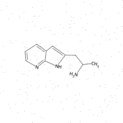 CC(N)Cc1cc2cccnc2[nH]1